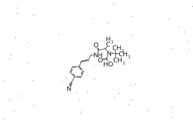 C[C@H](C(=O)NC/C=C/c1ccc(C#N)cc1)N(C(=O)O)C(C)(C)C